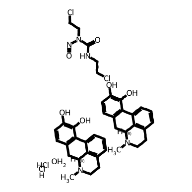 CN1CCc2cccc3c2[C@H]1Cc1ccc(O)c(O)c1-3.CN1CCc2cccc3c2[C@H]1Cc1ccc(O)c(O)c1-3.Cl.Cl.O.O=NN(CCCl)C(=O)NCCCl